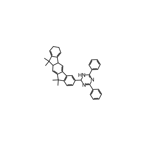 CC1(C)C2=CC3C(C=C2c2cc(C4N=C(c5ccccc5)N=C(c5ccccc5)N4)ccc21)C1=CCCC=C1C3(C)C